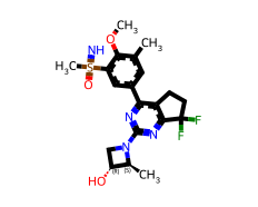 COc1c(C)cc(-c2nc(N3C[C@@H](O)[C@@H]3C)nc3c2CCC3(F)F)cc1S(C)(=N)=O